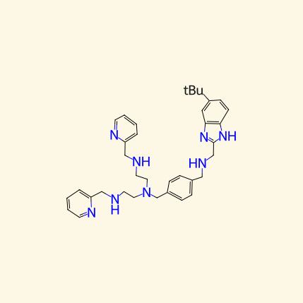 CC(C)(C)c1ccc2[nH]c(CNCc3ccc(CN(CCNCc4ccccn4)CCNCc4ccccn4)cc3)nc2c1